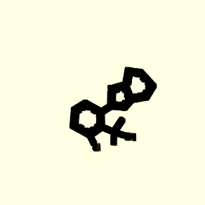 CC(C)(O)c1c(Cl)cccc1-c1cc2ccccc2s1